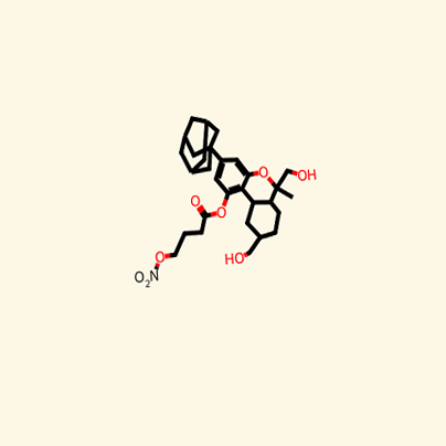 CC1(CO)Oc2cc(C34CC5CC(CC(C5)C3)C4)cc(OC(=O)CCCO[N+](=O)[O-])c2C2CC(CO)CCC21